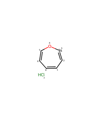 C1=C[CH]=[In][O]C=C1.Cl